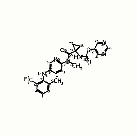 Cc1cccc(C(F)(F)F)c1Nc1ccc(N(C)C(=O)C2(NC(=O)Oc3cncnc3)CC2)nc1